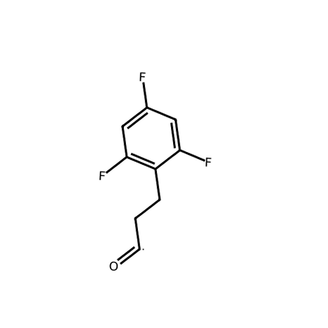 O=[C]CCc1c(F)cc(F)cc1F